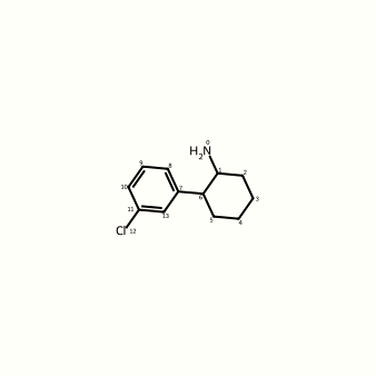 NC1CCCCC1c1cccc(Cl)c1